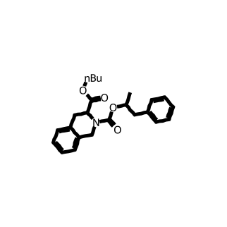 CCCCOC(=O)C1Cc2ccccc2CN1C(=O)OC(C)Cc1ccccc1